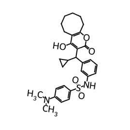 CN(C)c1ccc(S(=O)(=O)Nc2cccc(C(c3c(O)c4c(oc3=O)CCCCCC4)C3CC3)c2)cc1